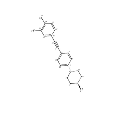 CC[C@H]1CC[C@H](c2ccc(C#Cc3ccc(Cl)c(F)c3)cc2)CC1